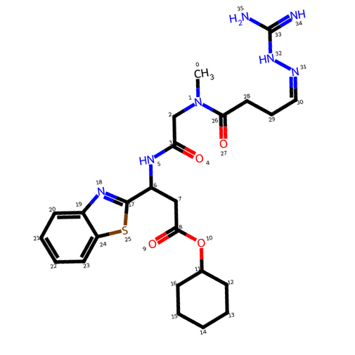 CN(CC(=O)NC(CC(=O)OC1CCCCC1)c1nc2ccccc2s1)C(=O)CC/C=N\NC(=N)N